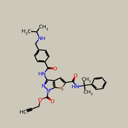 C#CCOC(=O)n1nc(NC(=O)c2ccc(CNC(C)C)cc2)c2cc(C(=O)NC(C)(C)c3ccccc3)sc21